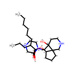 CCCCCCC(CCC)C(=O)OC1CCCC12CNCCC2(O)CN1CCNCC1=O